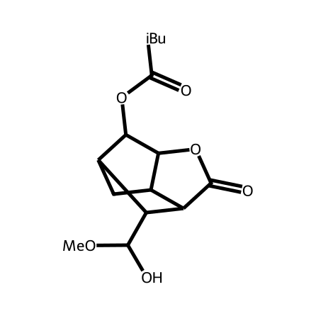 CCC(C)C(=O)OC1C2CC3C1OC(=O)C3C2C(O)OC